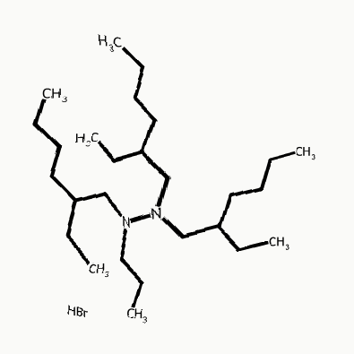 Br.CCCCC(CC)CN(CCC)N(CC(CC)CCCC)CC(CC)CCCC